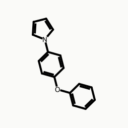 c1ccc(Oc2ccc(-n3cccc3)cc2)cc1